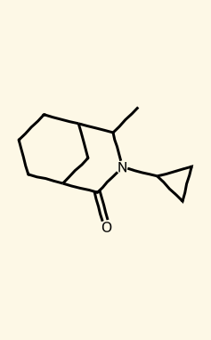 CC1C2CCCC(C2)C(=O)N1C1CC1